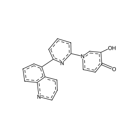 O=c1ccn(-c2cccc(-c3cccc4ncccc34)n2)cc1O